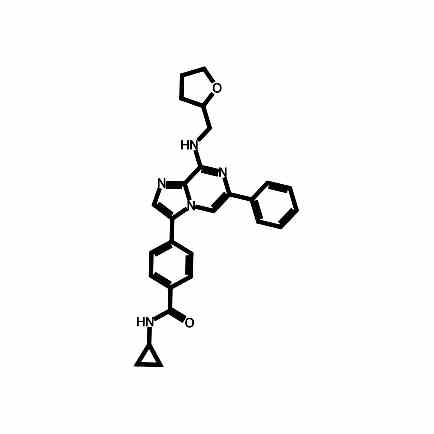 O=C(NC1CC1)c1ccc(-c2cnc3c(NCC4CCCO4)nc(-c4ccccc4)cn23)cc1